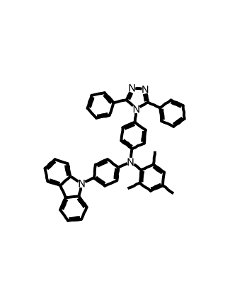 Cc1cc(C)c(N(c2ccc(-n3c(-c4ccccc4)nnc3-c3ccccc3)cc2)c2ccc(-n3c4ccccc4c4ccccc43)cc2)c(C)c1